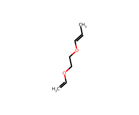 C=COCCO/C=C/C